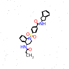 C=CC(=O)NC1CCN(S(=O)(=O)c2ccc(C(=O)NC3Cc4ccccc4C3)cc2)c2ccccc21